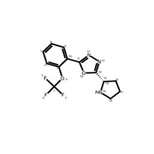 FC(F)(F)Oc1ccccc1-c1nnc([C@@H]2CCCN2)o1